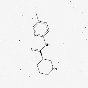 Cc1ccc(NC(=O)[C@@H]2CCCNC2)nc1